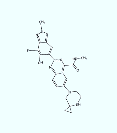 CNC(=O)c1nc(-c2cc3cn(C)nc3c(F)c2O)nc2ccc(N3CCNC4(CC4)C3)cc12